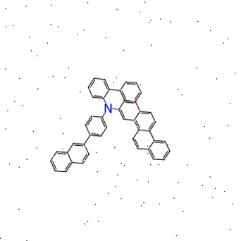 c1ccc(-c2ccccc2N(c2ccc(-c3ccc4ccccc4c3)cc2)c2ccc3ccc4c5ccccc5ccc4c3c2)cc1